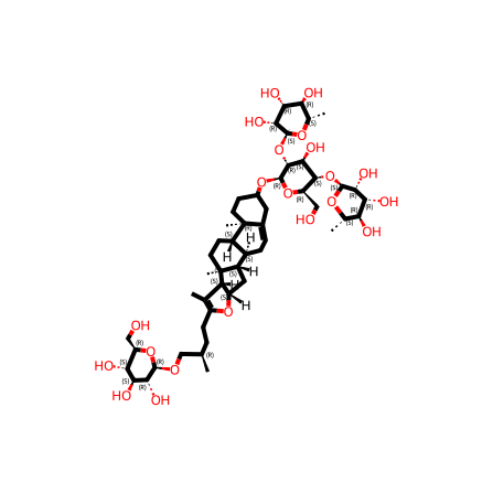 CC1=C(CC[C@@H](C)CO[C@@H]2O[C@H](CO)[C@@H](O)[C@H](O)[C@H]2O)O[C@H]2C[C@H]3[C@@H]4CC=C5CC(O[C@@H]6O[C@H](CO)[C@@H](O[C@@H]7O[C@@H](C)[C@H](O)[C@@H](O)[C@H]7O)[C@H](O)[C@H]6O[C@@H]6O[C@@H](C)[C@H](O)[C@@H](O)[C@H]6O)CC[C@]5(C)[C@H]4CC[C@]3(C)[C@@H]12